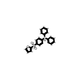 O=S(=O)(c1ccc([SH](c2ccccc2)c2ccccc2)cc1)c1ccco1